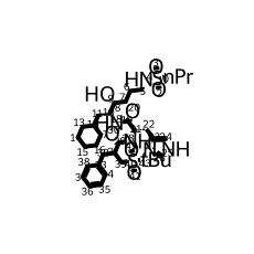 CCCS(=O)(=O)NCCC[C@H](O)[C@H](CC1CCCCC1)NC(=O)[C@H](Cc1c[nH]cn1)NC(=O)C(Cc1ccccc1)CS(=O)(=O)C(C)(C)C